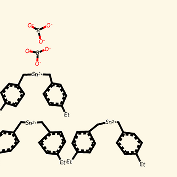 CCc1ccc([CH2][Sn+2][CH2]c2ccc(CC)cc2)cc1.CCc1ccc([CH2][Sn+2][CH2]c2ccc(CC)cc2)cc1.CCc1ccc([CH2][Sn+2][CH2]c2ccc(CC)cc2)cc1.[O-]B([O-])[O-].[O-]B([O-])[O-]